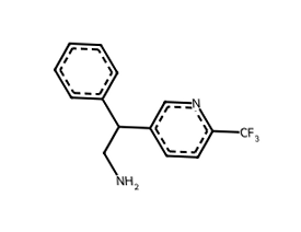 NCC(c1ccccc1)c1ccc(C(F)(F)F)nc1